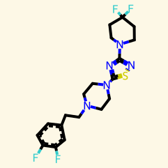 Fc1ccc(CCN2CCN(c3nc(N4CCC(F)(F)CC4)ns3)CC2)cc1F